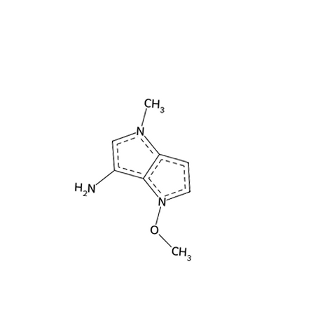 COn1ccc2c1c(N)cn2C